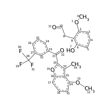 COc1cccc(O)c1CC=O.COc1cccc2oc(C(=O)c3cccc(C(F)(F)F)c3)c(C)c12